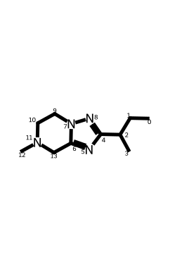 CCC(C)c1nc2n(n1)CCN(C)C2